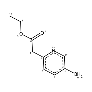 Bc1ccc(CC(=O)OCC)nc1